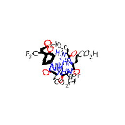 CC(C)[C@H](NC(=O)[C@H](CCC(=O)O)NC(=O)[C@@H](N)CC(=O)O)C(=O)N[C@@H](CC(=O)O)C(=O)Nc1ccc2c(C(F)(F)F)cc(=O)oc2c1